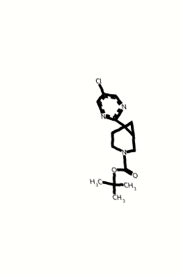 CC(C)(C)OC(=O)N1CCC2(c3ncc(Cl)cn3)CC2C1